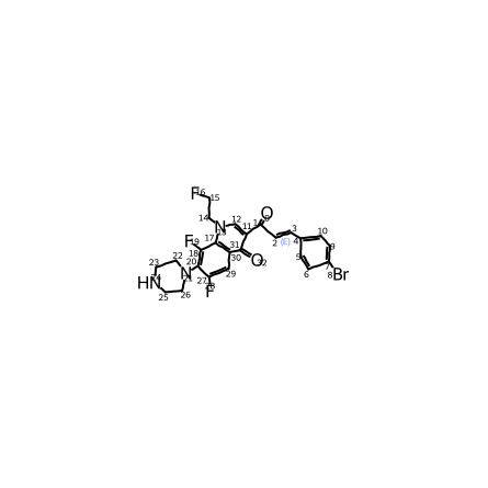 O=C(/C=C/c1ccc(Br)cc1)c1cn(CCF)c2c(F)c(N3CCNCC3)c(F)cc2c1=O